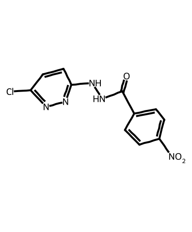 O=C(NNc1ccc(Cl)nn1)c1ccc([N+](=O)[O-])cc1